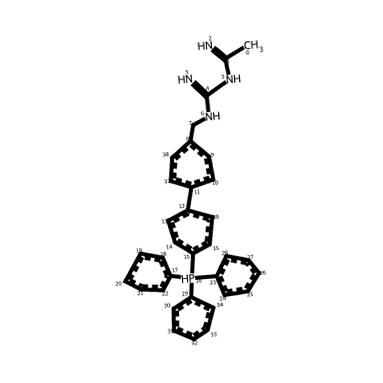 CC(=N)NC(=N)NCc1ccc(-c2ccc([PH](c3ccccc3)(c3ccccc3)c3ccccc3)cc2)cc1